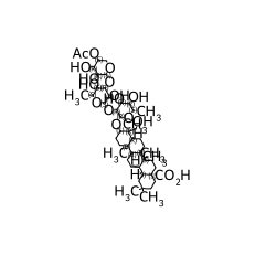 CC(=O)O[C@H]1CO[C@@H](O[C@@H]2[C@@H](O)[C@H](C)O[C@@H](O[C@H]3[C@H](O[C@H]4CC[C@@]5(C)[C@@H](CC[C@]6(C)[C@@H]5CC=C5[C@@H]7CC(C)(C)CC[C@]7(C(=O)O)CC[C@]56C)[C@]4(C)CO)O[C@@H](C)[C@H](O)[C@H]3O)[C@@H]2O)[C@H](O)[C@H]1O